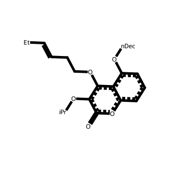 CCC=CCCOc1c(OC(C)C)c(=O)oc2cccc(OCCCCCCCCCC)c12